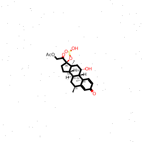 CC(=O)OCC(=O)[C@@]1(OS(=O)O)CC[C@H]2[C@@H]3C[C@H](C)C4=CC(=O)C=C[C@]4(C)[C@H]3[C@@H](O)C[C@@]21C